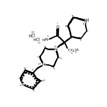 CCCC(=O)C(C(=O)O)(C1CCNCC1)N1CCN(c2ccncc2)CC1.Cl.Cl